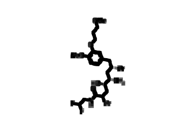 COCCCOc1cc(C[C@@H](C[C@H](N)[C@@H](O)C[C@H](C(=O)NCC(F)F)C(C)C)C(C)C)ccc1OC